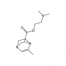 CC1=CN2CCN1C(C(=O)OCCN(C)C)C2